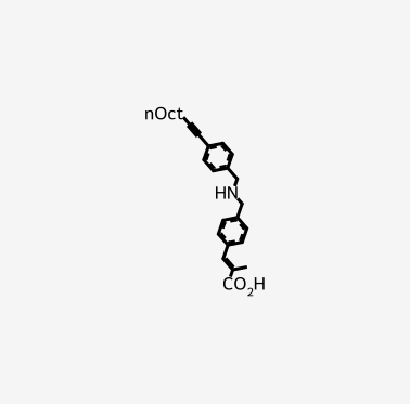 CCCCCCCCC#Cc1ccc(CNCc2ccc(/C=C(\C)C(=O)O)cc2)cc1